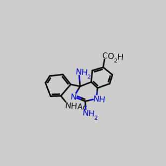 CC(=O)Nc1ccccc1C1(N)N=C(N)Nc2ccc(C(=O)O)cc21